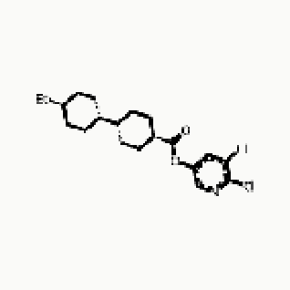 CC[C@H]1CC[C@H]([C@H]2CC[C@H](C(=O)Oc3cnc(Cl)c(Cl)c3)CC2)CC1